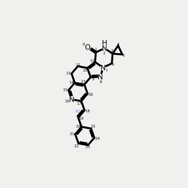 O=C1NC2(CC2)Cn2nc3c(c21)CCc1cnc(/C=C/c2ccccc2)cc1-3